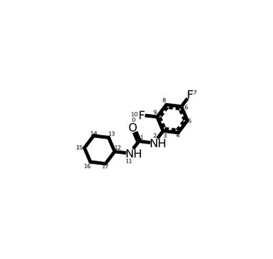 O=C(Nc1ccc(F)cc1F)NC1CCCCC1